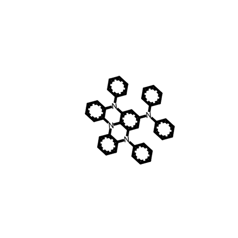 c1ccc(N(c2ccccc2)c2cc3c4c(c2)N(c2ccccc2)c2ccccc2N4c2ccccc2N3c2ccccc2)cc1